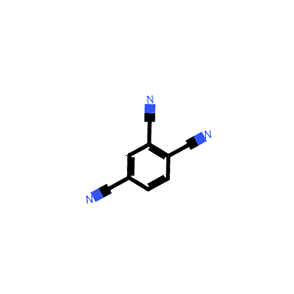 N#Cc1[c]c(C#N)c(C#N)cc1